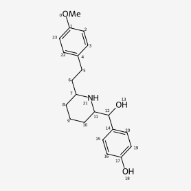 COc1ccc(CCC2CCCC(C(O)c3ccc(O)cc3)N2)cc1